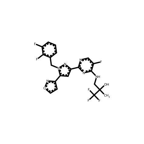 CC(O)(CNc1nc(-c2cc(-c3ccon3)n(Cc3cccc(F)c3F)n2)ncc1F)C(F)(F)F